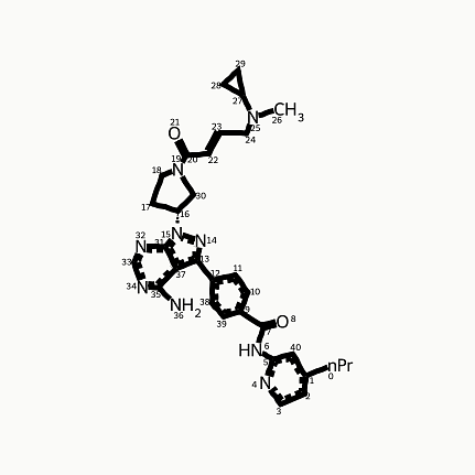 CCCc1ccnc(NC(=O)c2ccc(-c3nn([C@@H]4CCN(C(=O)/C=C/CN(C)C5CC5)C4)c4ncnc(N)c34)cc2)c1